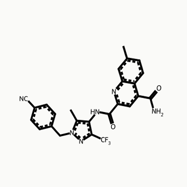 Cc1ccc2c(C(N)=O)cc(C(=O)Nc3c(C(F)(F)F)nn(Cc4ccc(C#N)cc4)c3C)nc2c1